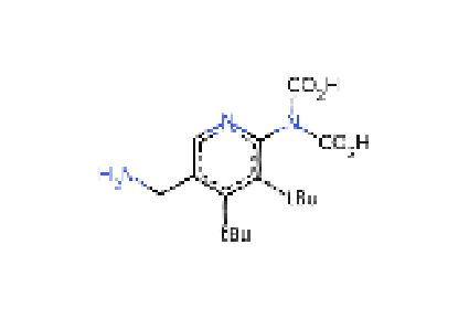 CC(C)(C)c1c(CN)cnc(N(C(=O)O)C(=O)O)c1C(C)(C)C